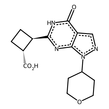 O=C(O)[C@@H]1CC[C@H]1c1nc2c(cnn2C2CCOCC2)c(=O)[nH]1